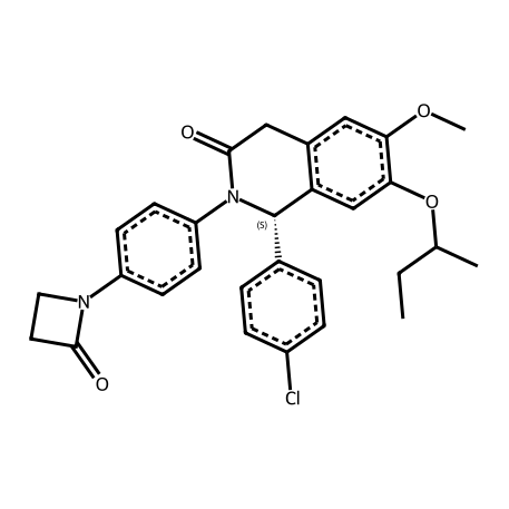 CCC(C)Oc1cc2c(cc1OC)CC(=O)N(c1ccc(N3CCC3=O)cc1)[C@H]2c1ccc(Cl)cc1